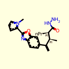 C=C(c1ccc2nc(-c3cccn3C)oc2c1)[C@H](C)[C@@H](CCC)C(=O)NN